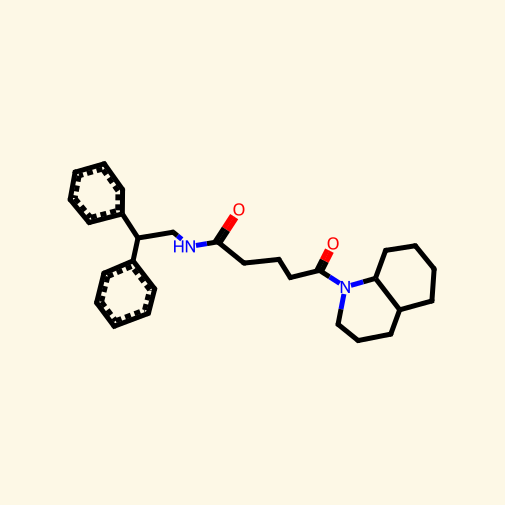 O=C(CCCC(=O)N1CCCC2CCCCC21)NCC(c1ccccc1)c1ccccc1